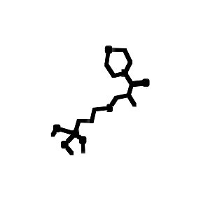 CO[Si](CCCSCC(C)C(=O)N1CCOCC1)(OC)OC